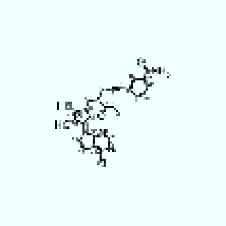 CCC(=O)N(CC#Cc1cccc(C(N)=O)c1)C[C@H]1C[C@@H](n2ccc3c(Cl)ncnc32)[C@H](O)[C@@H]1O